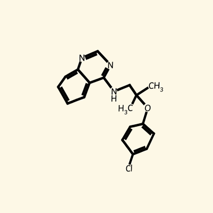 CC(C)(CNc1ncnc2ccccc12)Oc1ccc(Cl)cc1